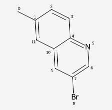 Cc1ccc2ncc(Br)cc2c1